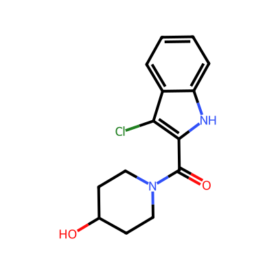 O=C(c1[nH]c2ccccc2c1Cl)N1CCC(O)CC1